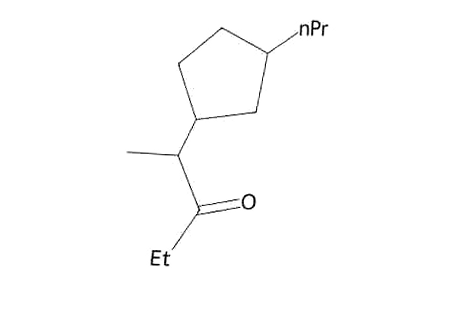 CCCC1CCC(C(C)C(=O)CC)C1